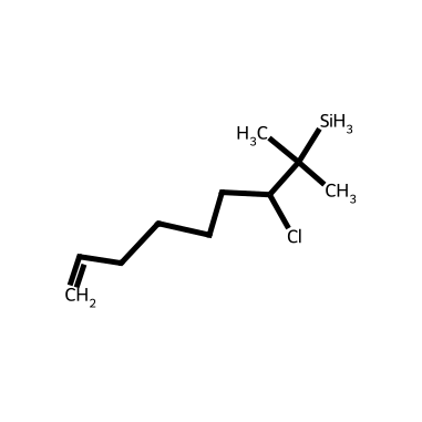 C=CCCCCC(Cl)C(C)(C)[SiH3]